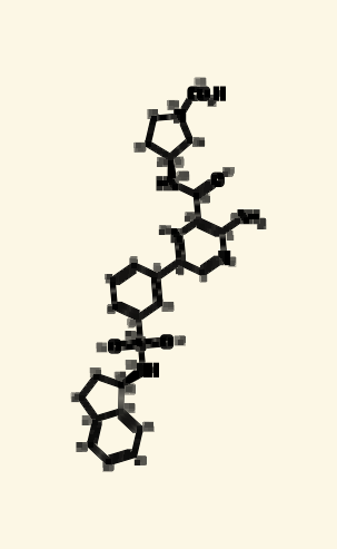 Nc1ncc(-c2cccc(S(=O)(=O)N[C@@H]3CCc4ccccc43)c2)nc1C(=O)N[C@H]1CCN(C(=O)O)C1